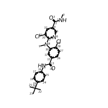 CNC(=O)c1cnc(N(C)c2cc(C(=O)Nc3ccc(C(C)(C)C)cc3)ccc2Cl)c(Cl)c1